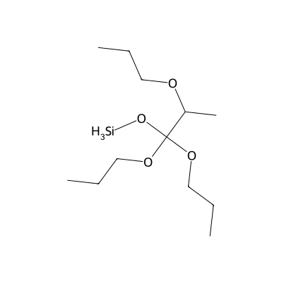 CCCOC(C)C(O[SiH3])(OCCC)OCCC